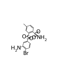 Cc1ccc(S(N)(=O)=O)c(S(=O)(=O)c2ccc(Br)c(N)c2)c1